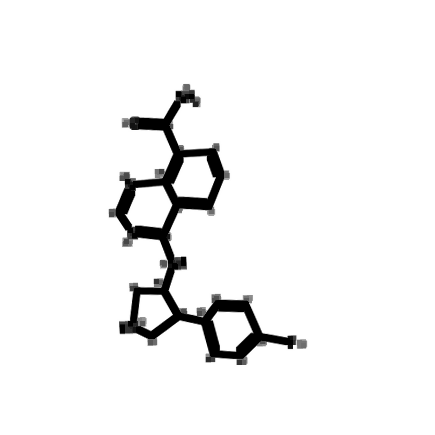 NC(=O)c1cccc2c(NC3CNCC3c3ccc(F)cc3)ncnc12